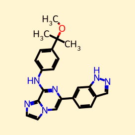 COC(C)(C)c1ccc(Nc2nc(-c3ccc4cn[nH]c4c3)cn3ccnc23)cc1